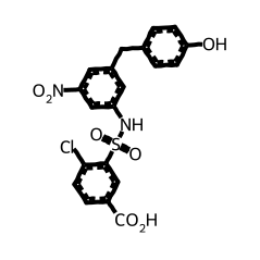 O=C(O)c1ccc(Cl)c(S(=O)(=O)Nc2cc(Cc3ccc(O)cc3)cc([N+](=O)[O-])c2)c1